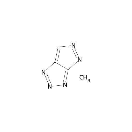 C.C1=C2N=NN=C2N=N1